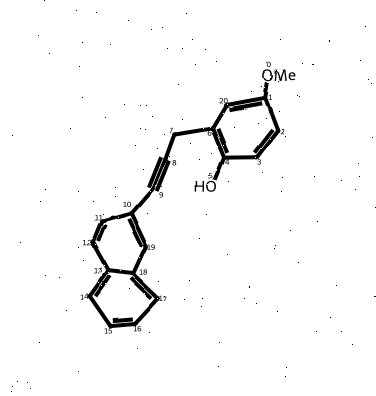 COc1ccc(O)c(CC#Cc2ccc3ccccc3c2)c1